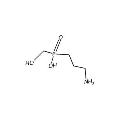 NCCCP(=O)(O)CO